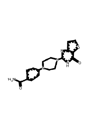 NC(=O)c1ccc(N2CCN(c3nc4ccsc4c(=O)[nH]3)CC2)cc1